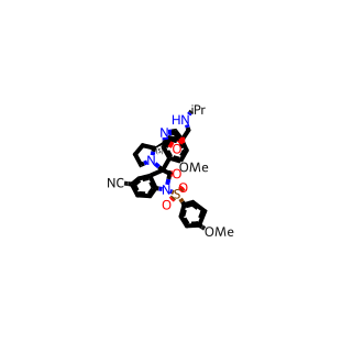 COc1ccc(S(=O)(=O)N2C(=O)C(c3ccc(CNC(C)C)cc3OC)(N3CCC[C@H]3c3ncco3)c3cc(C#N)ccc32)cc1